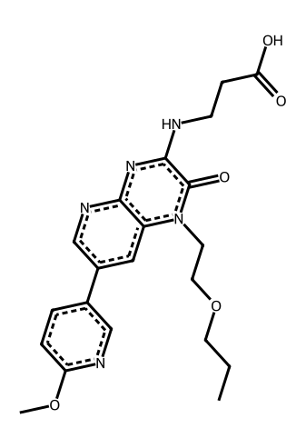 CCCOCCn1c(=O)c(NCCC(=O)O)nc2ncc(-c3ccc(OC)nc3)cc21